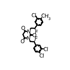 Cc1ccc([C@@H](F)CN2C(=O)CC(=O)N(C[C@H](F)c3ccc(Cl)c(Cl)c3)C2=O)cc1Cl